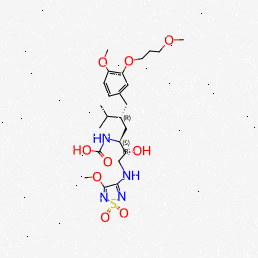 COCCCOc1cc(C[C@H](C[C@H](NC(=O)O)[C@H](O)CNC2=NS(=O)(=O)N=C2OC)C(C)C)ccc1OC